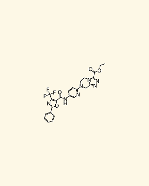 CCOC(=O)c1nnc2n1CCN(c1ccc(NC(=O)c3oc(-c4ccccc4)nc3C(F)(F)F)cn1)C2